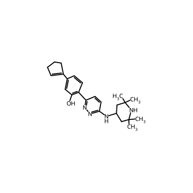 CC1(C)CC(Nc2ccc(-c3ccc(C4=CCCC4)cc3O)nn2)CC(C)(C)N1